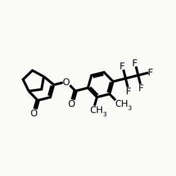 Cc1c(C(=O)OC2=CC(=O)C3CCC2C3)ccc(C(F)(F)C(F)(F)F)c1C